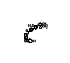 Cc1cc(N2CCC(C)(C)C2=O)ccc1-c1ccc(C(=O)CN2CCc3cc4c(cc32)C2(CCNCC2)CO4)cc1